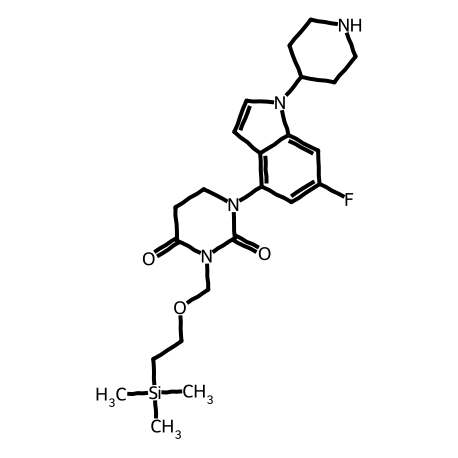 C[Si](C)(C)CCOCN1C(=O)CCN(c2cc(F)cc3c2ccn3C2CCNCC2)C1=O